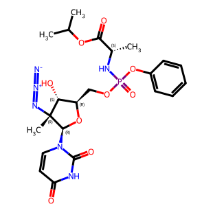 CC(C)OC(=O)[C@H](C)NP(=O)(OC[C@H]1O[C@@H](n2ccc(=O)[nH]c2=O)[C@](C)(N=[N+]=[N-])[C@@H]1O)Oc1ccccc1